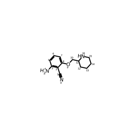 N#Cc1c(N)cccc1OCC1CCCCN1